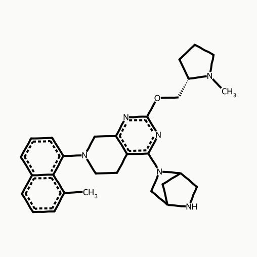 Cc1cccc2cccc(N3CCc4c(nc(OC[C@@H]5CCCN5C)nc4N4CC5CC4CN5)C3)c12